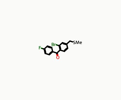 CSCc1ccc(C(=O)c2ccc(F)cc2)c(Br)c1